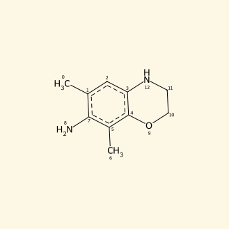 Cc1cc2c(c(C)c1N)OCCN2